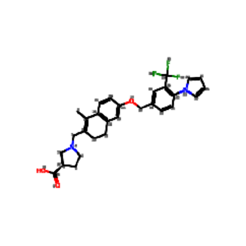 CC1=C(CN2CC[C@@H](C(=O)O)C2)CCc2cc(OCc3ccc(-n4cccc4)c(C(F)(F)F)c3)ccc21